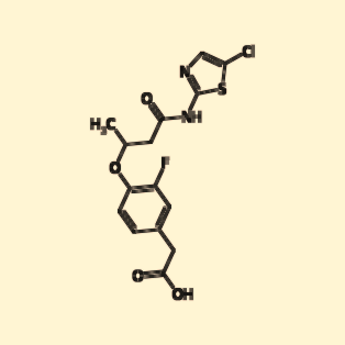 CC(CC(=O)Nc1ncc(Cl)s1)Oc1ccc(CC(=O)O)cc1F